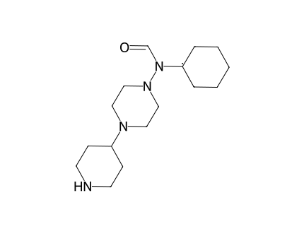 O=CN([C]1CCCCC1)N1CCN(C2CCNCC2)CC1